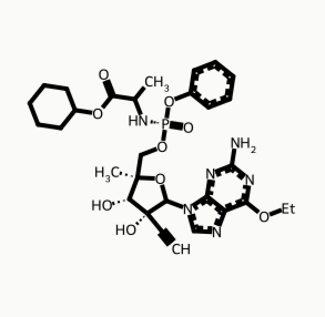 C#C[C@]1(O)C(n2cnc3c(OCC)nc(N)nc32)O[C@](C)(CO[P@@](=O)(NC(C)C(=O)OC2CCCCC2)Oc2ccccc2)[C@H]1O